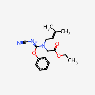 CCOC(=O)CN(CC=C(C)C)/C(=N/C#N)Oc1ccccc1